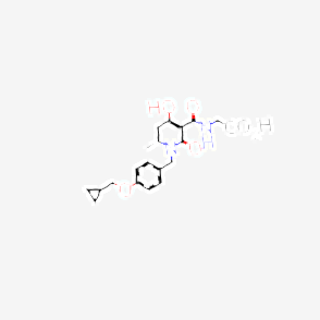 C[C@H]1CC(O)=C(C(=O)NCC(=O)O)C(=O)N1Cc1ccc(OCC2CC2)cc1